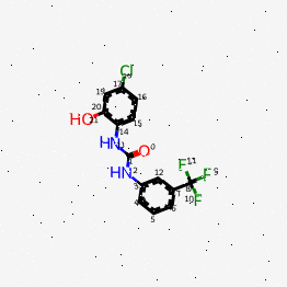 O=C(Nc1cccc(C(F)(F)F)c1)Nc1ccc(Cl)cc1O